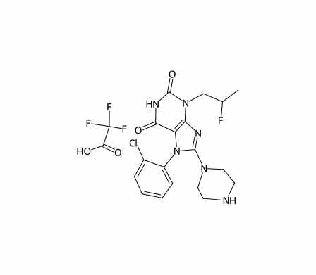 CC(F)Cn1c(=O)[nH]c(=O)c2c1nc(N1CCNCC1)n2-c1ccccc1Cl.O=C(O)C(F)(F)F